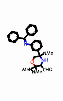 CNC1(c2cccc(N=C(c3ccccc3)c3ccccc3)c2)COC(NC)(NC)C(C=O)N1